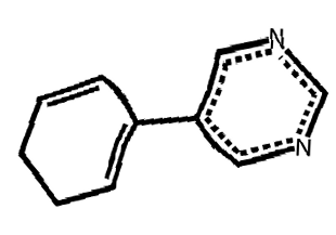 C1=CC(c2cncnc2)=CCC1